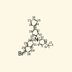 CC(C)(C)c1ccc(N(c2ccc(-c3ccccc3)cc2)c2ccc3cc(Br)ccc3c2)cc1